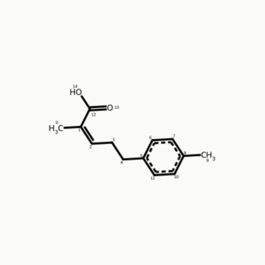 CC(=CCCc1ccc(C)cc1)C(=O)O